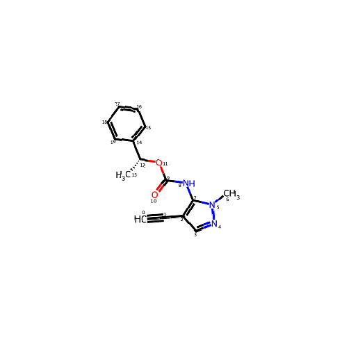 C#Cc1cnn(C)c1NC(=O)O[C@H](C)c1ccccc1